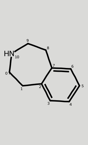 [CH]1Cc2ccccc2CCN1